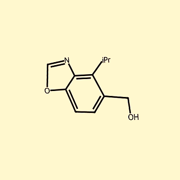 CC(C)c1c(CO)ccc2ocnc12